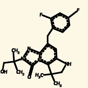 CC1(C)CNc2cc(Cc3ccc(F)cc3F)c3nn(C(C)(C)CO)c(=O)n3c21